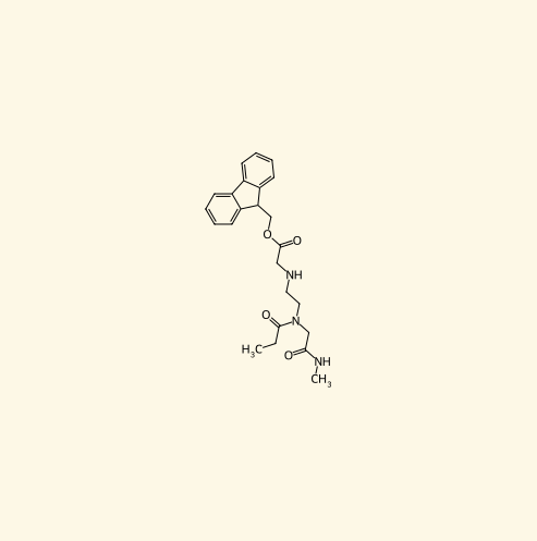 CCC(=O)N(CCNCC(=O)OCC1c2ccccc2-c2ccccc21)CC(=O)NC